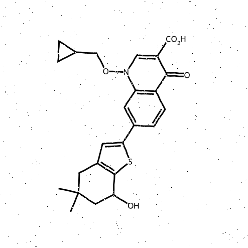 CC1(C)Cc2cc(-c3ccc4c(=O)c(C(=O)O)cn(OCC5CC5)c4c3)sc2C(O)C1